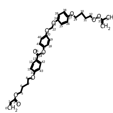 C=CC(=O)OCCCCOc1ccc(C(=O)Oc2ccc(OCOc3ccc(OCCCCOOC(=C)C)cc3)cc2)cc1